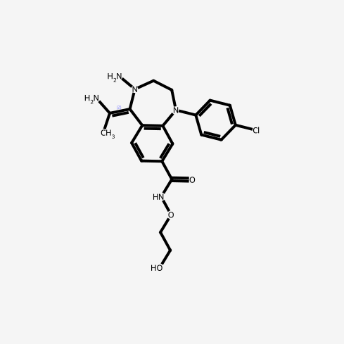 C/C(N)=C1\c2ccc(C(=O)NOCCO)cc2N(c2ccc(Cl)cc2)CCN1N